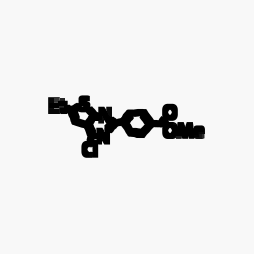 CCc1cc2c(Cl)nc(-c3ccc(C(=O)OC)cc3)nc2s1